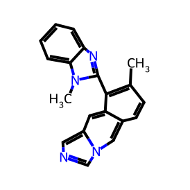 Cc1ccc2cn3cncc3cc2c1-c1nc2ccccc2n1C